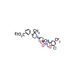 CCOC(=O)c1cccc([C@H]2CCN([C@@H]3CC[C@](C)(C(=O)N4COc5c(Cl)cc(C(F)(F)F)cc5C4)OC3)C[C@@H]2C)c1